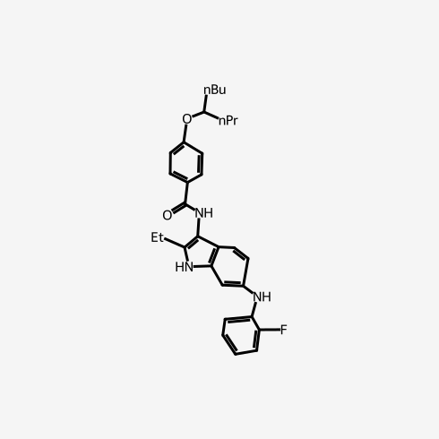 CCCCC(CCC)Oc1ccc(C(=O)Nc2c(CC)[nH]c3cc(Nc4ccccc4F)ccc23)cc1